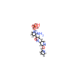 Nc1c(-c2cc(Cc3ccc(OCc4ccccn4)nc3)no2)ccc[n+]1COP(=O)([O-])O